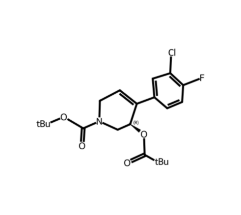 CC(C)(C)OC(=O)N1CC=C(c2ccc(F)c(Cl)c2)[C@@H](OC(=O)C(C)(C)C)C1